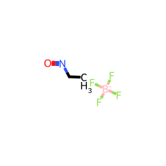 CCN=O.F[B-](F)(F)F